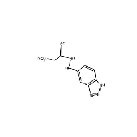 CCOC(=O)CC(NNc1ccc2[nH]nnc2c1)C(C)=O